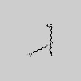 CCCCCCCOC(CCC#N)OCCCCCCC